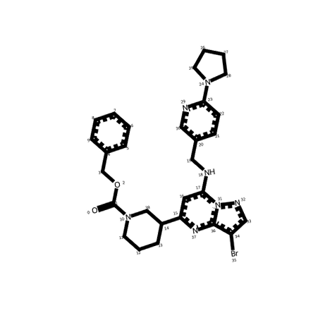 O=C(OCc1ccccc1)N1CCCC(c2cc(NCc3ccc(N4CCCC4)nc3)n3ncc(Br)c3n2)C1